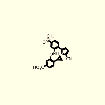 C[S+]([O-])c1ccc(-c2ccc(C#N)s2)c(NSc2cc(C(=O)O)ccc2C2CC2)c1